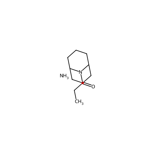 CCC(=O)N1C2CCCC1CCC2.N